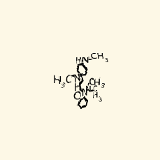 CCNC1=CCC(C=CC2Oc3ccccc3N2N(CC)CC)(NCC)C=C1